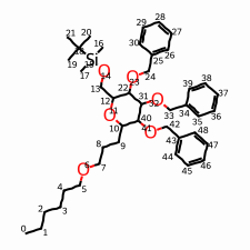 CCCCCCOCCCC1OC(CO[Si](C)(C)C(C)(C)C)C(OCc2ccccc2)C(OCc2ccccc2)C1OCc1ccccc1